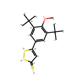 COc1c(C(C)(C)C)cc(-c2cc(=S)ss2)cc1C(C)(C)C